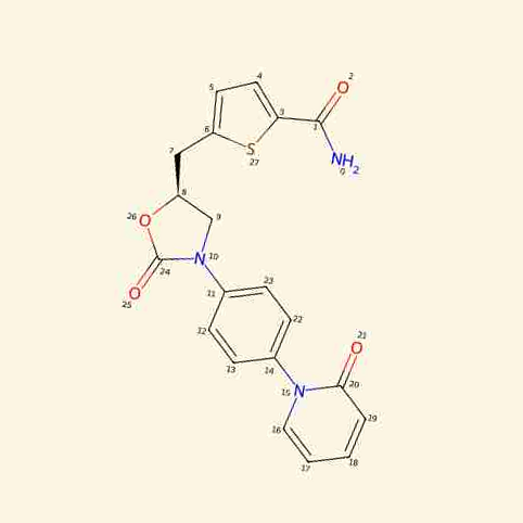 NC(=O)c1ccc(C[C@H]2CN(c3ccc(-n4ccccc4=O)cc3)C(=O)O2)s1